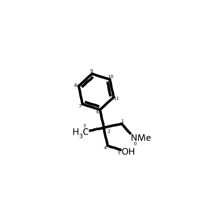 CNCC(C)(CO)c1ccccc1